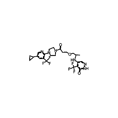 CC(COCCC(=O)N1CCN(c2ncc(C3CC3)cc2C(F)(F)F)CC1)Nc1cn[nH]c(=O)c1C(F)(F)F